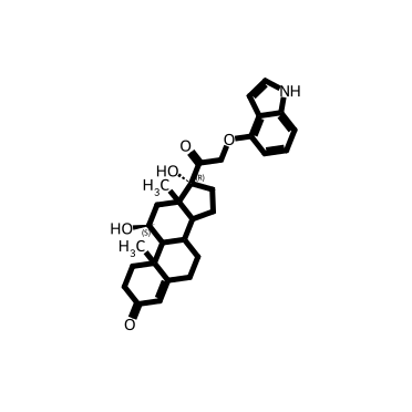 CC12CCC(=O)C=C1CCC1C2[C@@H](O)CC2(C)C1CC[C@]2(O)C(=O)COc1cccc2[nH]ccc12